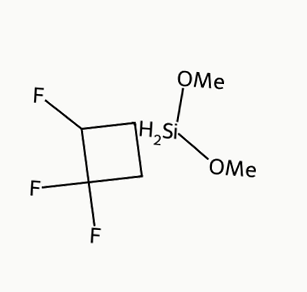 CO[SiH2]OC.FC1CCC1(F)F